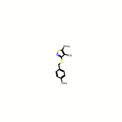 COc1ccc(CSc2nsc(NC(C)=O)c2C#N)cc1